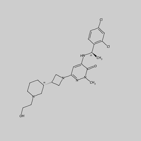 C[C@@H](Nc1cc(N2CC([C@H]3CCCN(CCO)C3)C2)nn(C)c1=O)c1ccc(Cl)cc1Cl